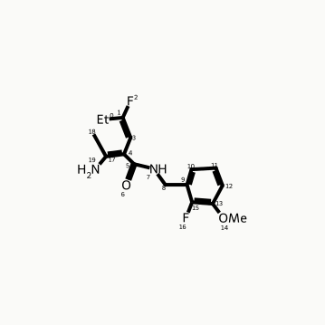 CC/C(F)=C\C(C(=O)NCc1cccc(OC)c1F)=C(/C)N